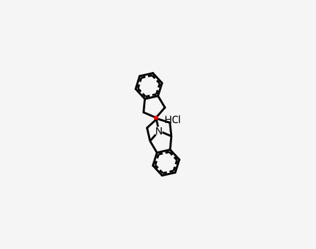 Cl.c1ccc2c(c1)CC(N1C3CCCC1c1ccccc13)C2